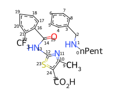 CCCCCNCc1ccccc1.Cc1nc(NC(=O)c2ccccc2C(F)(F)F)sc1C(=O)O